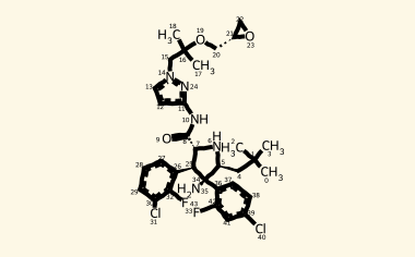 CC(C)(C)C[C@@H]1N[C@@H](C(=O)Nc2ccn(CC(C)(C)OC[C@@H]3CO3)n2)[C@H](c2cccc(Cl)c2F)[C@@]1(N)c1ccc(Cl)cc1F